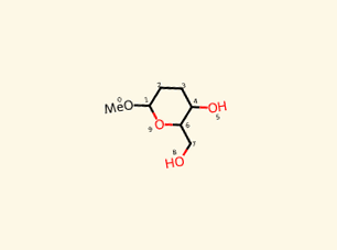 COC1CCC(O)C(CO)O1